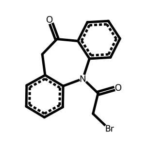 O=C1Cc2ccccc2N(C(=O)CBr)c2ccccc21